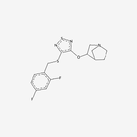 Fc1ccc(CSc2nsnc2OC2CN3CCC2C3)c(F)c1